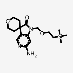 C[Si](C)(C)CCOCN1C(=O)C2(CCOCC2)c2cnc(N)cc21